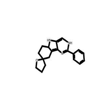 C1=C2NC3CCC4(CCCO4)CC3=C2N=C(c2ccccc2)N1